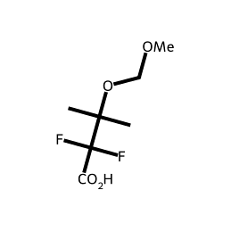 COCOC(C)(C)C(F)(F)C(=O)O